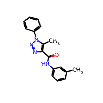 Cc1cccc(NC(=O)c2nnn(-c3ccccc3)c2C)c1